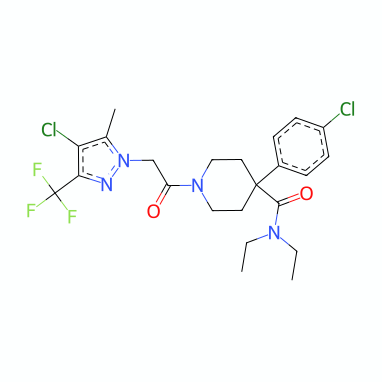 CCN(CC)C(=O)C1(c2ccc(Cl)cc2)CCN(C(=O)Cn2nc(C(F)(F)F)c(Cl)c2C)CC1